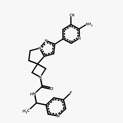 CC(NC(=O)N1CC2(CCn3nc(-c4cnc(N)c(C#N)c4)cc32)C1)c1cncc(F)c1